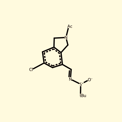 CC(=O)N1Cc2cc(Cl)cc(C=N[S+]([O-])C(C)(C)C)c2C1